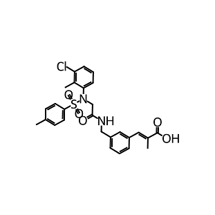 C/C(=C\c1cccc(CNC(=O)CN(c2cccc(Cl)c2C)S(=O)(=O)c2ccc(C)cc2)c1)C(=O)O